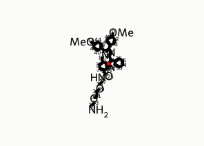 COc1ccc(-c2nc(-c3cn(C)c4ccccc34)n(Cc3ccc(C(=O)NCCOCCOCCN)cc3)c2-c2ccc(OC)cc2)cc1